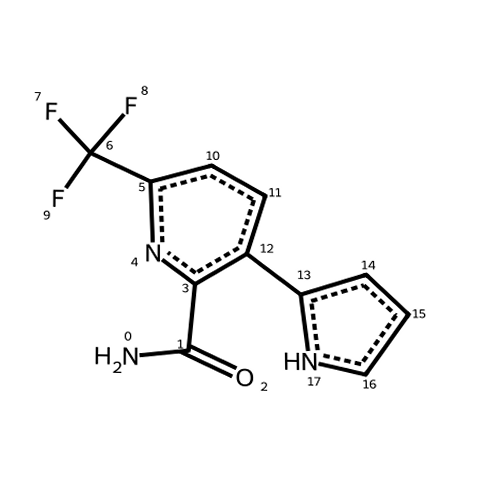 NC(=O)c1nc(C(F)(F)F)ccc1-c1ccc[nH]1